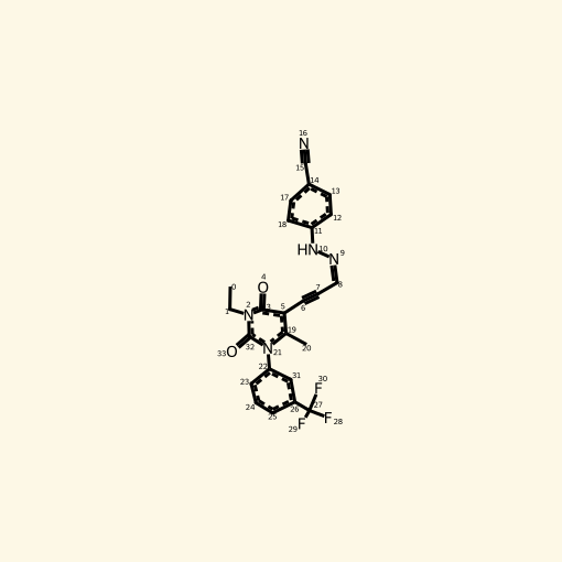 CCn1c(=O)c(C#C/C=N\Nc2ccc(C#N)cc2)c(C)n(-c2cccc(C(F)(F)F)c2)c1=O